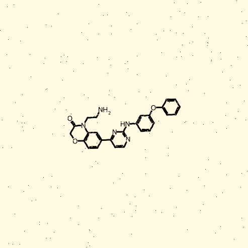 NCCN1C(=O)COc2ccc(-c3ccnc(Nc4cccc(Oc5ccccc5)c4)n3)cc21